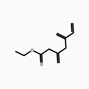 C=CC(=C)CC(=C)CC(=O)OCC